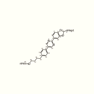 CCCCCCCC1Oc2ccc(-c3ncc(-c4ccc(CCCCOCCCCCC)cc4)cn3)cc2O1